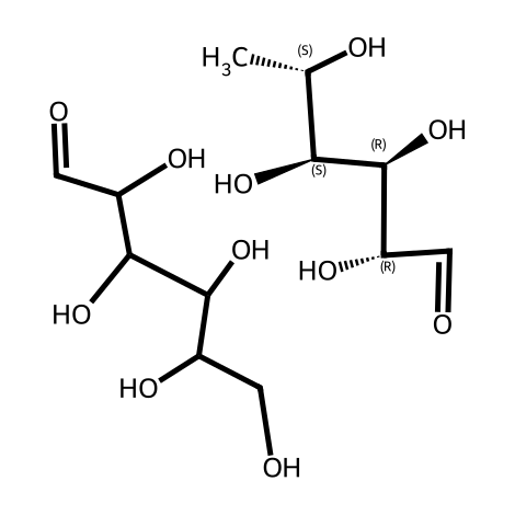 C[C@H](O)[C@H](O)[C@@H](O)[C@@H](O)C=O.O=CC(O)C(O)C(O)C(O)CO